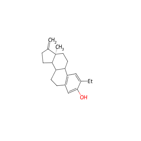 C=C1CCC2C3CCc4cc(O)c(CC)cc4C3CC[C@]12C